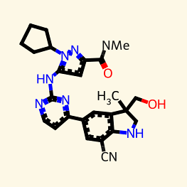 CNC(=O)c1cc(Nc2nccc(-c3cc(C#N)c4c(c3)C(C)(CO)CN4)n2)n(C2CCCC2)n1